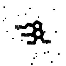 COc1cc2c(c(OC)c1OC)/C(=C\CN)CC2